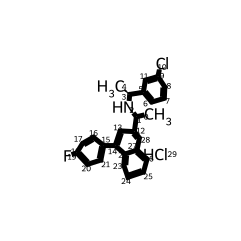 CC(N[C@H](C)c1cccc(Cl)c1)c1cc(-c2ccc(F)cc2)c2ccccc2c1.Cl